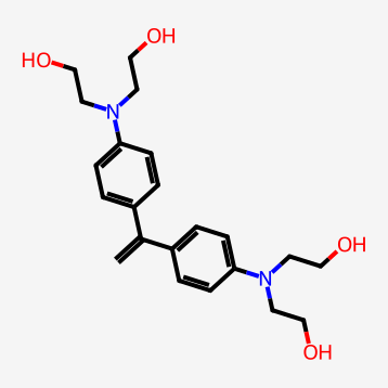 C=C(c1ccc(N(CCO)CCO)cc1)c1ccc(N(CCO)CCO)cc1